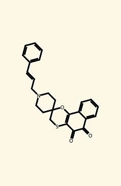 O=C1C(=O)c2ccccc2C2=C1SCC1(CCN(CC=Cc3ccccc3)CC1)O2